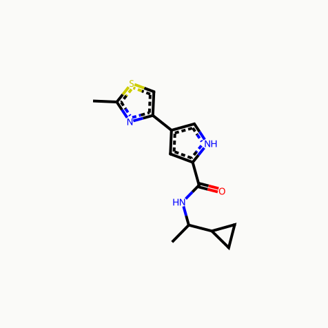 Cc1nc(-c2c[nH]c(C(=O)NC(C)C3CC3)c2)cs1